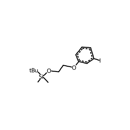 CC(C)(C)[Si](C)(C)OCCOc1cccc(I)c1